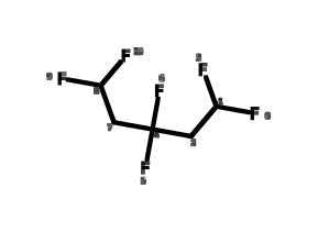 F[C](F)CC(F)(F)CC(F)F